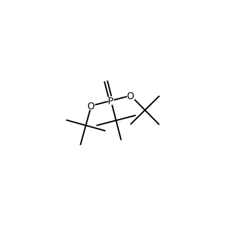 C=P(OC(C)(C)C)(OC(C)(C)C)C(C)(C)C